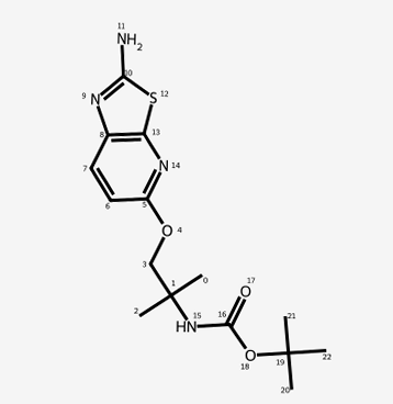 CC(C)(COc1ccc2nc(N)sc2n1)NC(=O)OC(C)(C)C